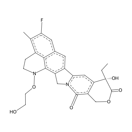 CC[C@@]1(O)C(=O)OCc2c1cc1n(c2=O)Cc2c-1cc1cc(F)c(C)c3c1c2N(OCCO)CC3